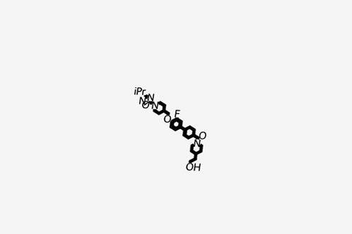 CC(C)c1noc(N2CCC(COc3ccc(C4=CCC(C(=O)N5CCC(CCO)CC5)CC4)cc3F)CC2)n1